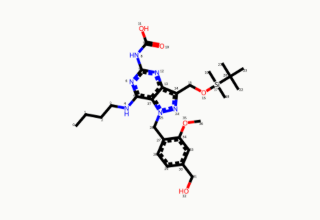 CCCCNc1nc(NC(=O)O)nc2c(CO[Si](C)(C)C(C)(C)C)nn(Cc3ccc(CO)cc3OC)c12